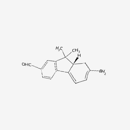 BC1=CC=C2c3ccc(C=O)cc3C(C)(C)[C@@H]2C1